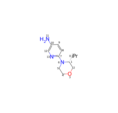 CC(C)[C@@H]1COCCN1c1ccc(N)cn1